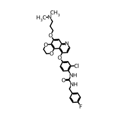 CN(C)CCCOc1cc2nccc(Oc3ccc(NC(=O)NCc4ccc(F)cc4)c(Cl)c3)c2c2c1OCCO2